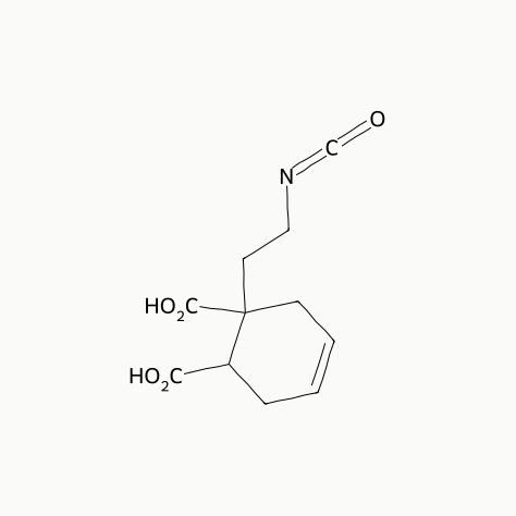 O=C=NCCC1(C(=O)O)CC=CCC1C(=O)O